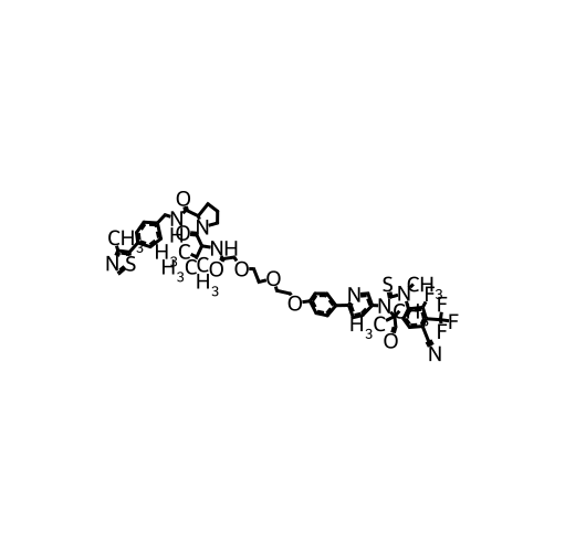 Cc1ncsc1-c1ccc(CNC(=O)C2CCCN2C(=O)C(NC(=O)COCCOCCOc2ccc(-c3ccc(N(C(=S)N(C)c4ccc(C#N)c(C(F)(F)F)c4F)C(C)(C)C=O)cn3)cc2)C(C)(C)C)cc1